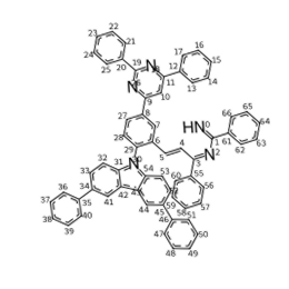 N=C(/N=C(\C=C\c1cc(-c2cc(-c3ccccc3)nc(-c3ccccc3)n2)ccc1-n1c2ccc(-c3ccccc3)cc2c2cc(-c3ccccc3)ccc21)c1ccccc1)c1ccccc1